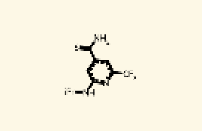 CC(C)Nc1cc(C(N)=S)cc(C(F)(F)F)n1